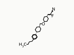 CCCCc1ccc([C@H]2CC[C@H](CO[C@H]3CC[C@H](C=C(F)C#N)CC3)CC2)cc1